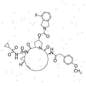 COc1ccc(CC(=O)N[C@H]2CCCCC/C=C\[C@@H]3C[C@@]3(C(=O)NS(=O)(=O)C3CC3)NC(=O)C3C[C@@H](OC(=O)N4Cc5cccc(F)c5C4)CN3C2=O)cc1